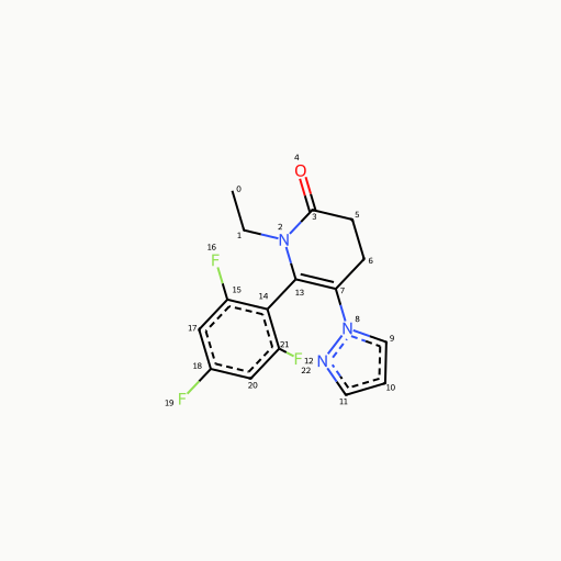 CCN1C(=O)CCC(n2cccn2)=C1c1c(F)cc(F)cc1F